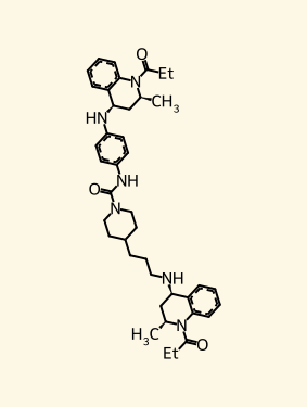 CCC(=O)N1c2ccccc2[C@H](NCCCC2CCN(C(=O)Nc3ccc(N[C@@H]4C[C@H](C)N(C(=O)CC)c5ccccc54)cc3)CC2)C[C@@H]1C